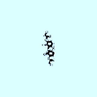 O=C(CCl)Oc1ccc(Cl)c(Sc2c(Cl)ccc(OC(=O)CCl)c2Cl)c1Cl